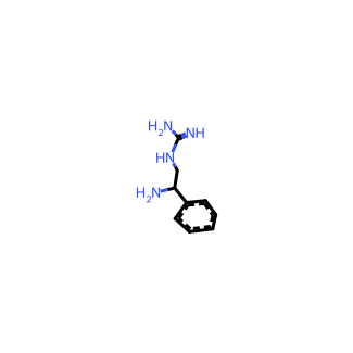 N=C(N)NCC(N)c1ccccc1